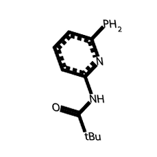 CC(C)(C)C(=O)Nc1cccc(P)n1